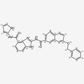 O=C(Nc1nc2c(C(=O)Nc3ncc[nH]3)cccc2[nH]1)c1cc2cc(OCc3ccccc3)ccc2cn1